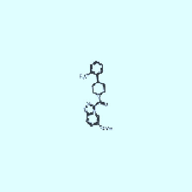 COc1ccc2nnc(C(=O)N3CCC(c4ccccc4C(F)(F)F)CC3)n2c1